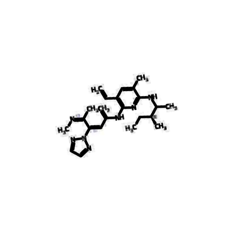 C=Cc1cc(C)c(NC(C)[C@@H](C)CC)nc1NC(=C)/C=C(\C(C)=N/C)n1nccn1